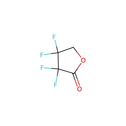 O=C1OCC(F)(F)C1(F)F